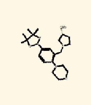 CO[C@@H]1CCN(Cc2cc(B3OC(C)(C)C(C)(C)O3)ccc2N2CCOCC2)C1